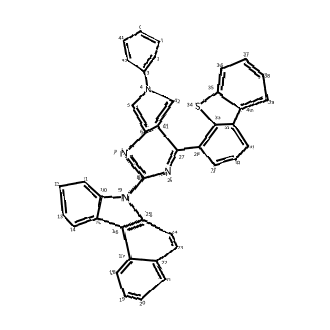 c1ccc(-n2cc3nc(-n4c5ccccc5c5c6ccccc6ccc54)nc(-c4cccc5c4sc4ccccc45)c3c2)cc1